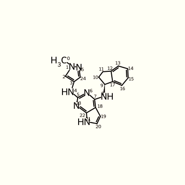 Cn1cc(Nc2nc(N[C@H]3CCc4ccccc43)c3cc[nH]c3n2)cn1